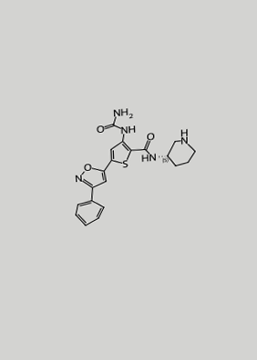 NC(=O)Nc1cc(-c2cc(-c3ccccc3)no2)sc1C(=O)N[C@H]1CCCNC1